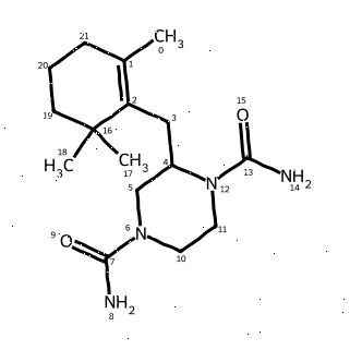 CC1=C(CC2CN(C(N)=O)CCN2C(N)=O)C(C)(C)CCC1